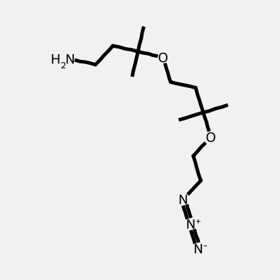 CC(C)(CCN)OCCC(C)(C)OCCN=[N+]=[N-]